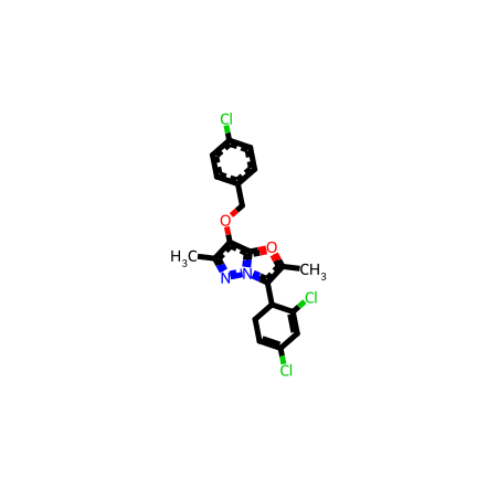 Cc1nn2c(C3CC=C(Cl)C=C3Cl)c(C)oc2c1OCc1ccc(Cl)cc1